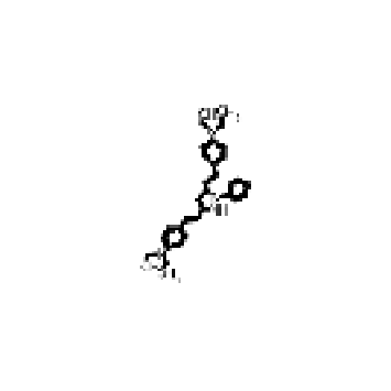 CCN(CC)c1ccc(C=CC2=CC(C=Cc3ccc(N(CC)CC)cc3)N(c3ccccc3)N2)cc1